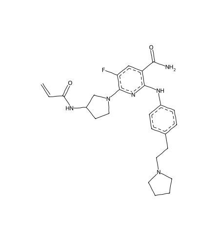 C=CC(=O)NC1CCN(c2nc(Nc3ccc(CCN4CCCC4)cc3)c(C(N)=O)cc2F)C1